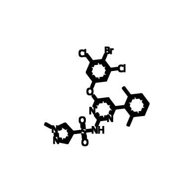 Cc1cccc(C)c1-c1cc(Oc2cc(Cl)c(Br)c(Cl)c2)nc(NS(=O)(=O)c2cnn(C)c2)n1